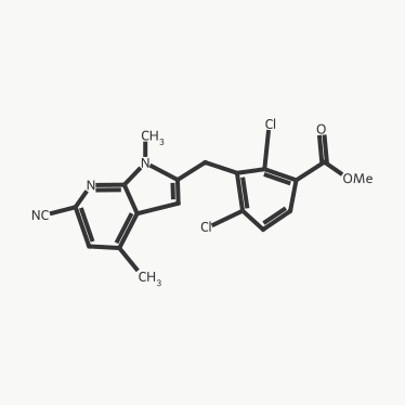 COC(=O)c1ccc(Cl)c(Cc2cc3c(C)cc(C#N)nc3n2C)c1Cl